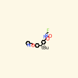 CC(C)(C)C(c1ccc(OCc2ccccn2)cc1)c1ccc(-c2nn(CCF)c(=O)o2)cc1